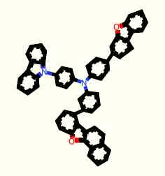 c1cc(-c2cccc3oc4c5ccccc5ccc4c23)cc(N(c2ccc(-c3ccc4c(c3)oc3ccccc34)cc2)c2ccc(-n3c4ccccc4c4ccccc43)cc2)c1